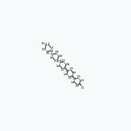 Cc1ccc(-c2ccc(-c3ccc(C4=CCC(c5ccc(C)cc5)C=C4)cc3)cc2)cc1